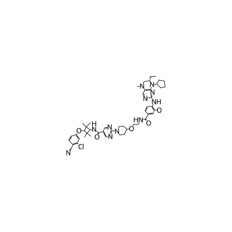 CC[C@@H]1CN(C)c2cnc(Nc3ccc(C(=O)NCCOC4CCN(c5ncc(C(=O)NC6C(C)(C)C(Oc7ccc(C#N)c(Cl)c7)C6(C)C)cn5)CC4)cc3OC)nc2N1C1CCCC1